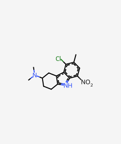 Cc1cc([N+](=O)[O-])c2[nH]c3c(c2c1Cl)CC(N(C)C)CC3